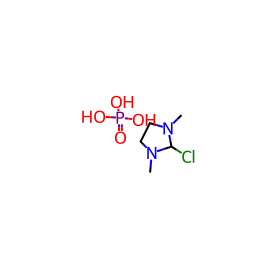 CN1CCN(C)C1Cl.O=P(O)(O)O